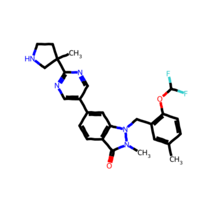 Cc1ccc(OC(F)F)c(Cn2c3cc(-c4cnc(C5(C)CCNC5)nc4)ccc3c(=O)n2C)c1